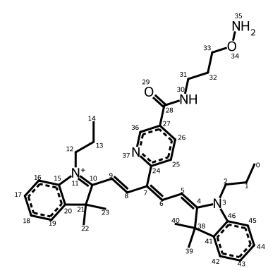 CCCN1/C(=C/C=C(/C=C/C2=[N+](CCC)c3ccccc3C2(C)C)c2ccc(C(=O)NCCCON)cn2)C(C)(C)c2ccccc21